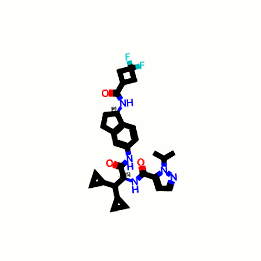 CC(C)n1nccc1C(=O)N[C@H](C(=O)Nc1ccc2c(c1)CC[C@H]2NC(=O)C1CC(F)(F)C1)C(C1CC1)C1CC1